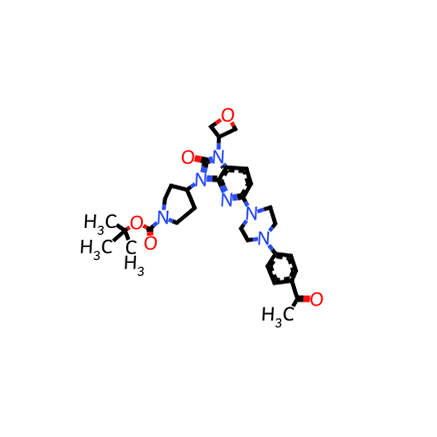 CC(=O)c1ccc(N2CCN(c3ccc4c(n3)n(C3CCN(C(=O)OC(C)(C)C)CC3)c(=O)n4C3COC3)CC2)cc1